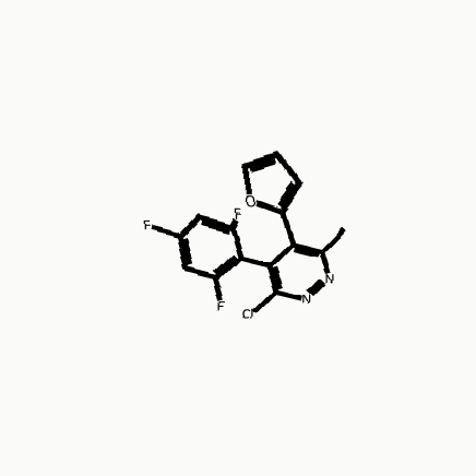 Cc1nnc(Cl)c(-c2c(F)cc(F)cc2F)c1-c1ccco1